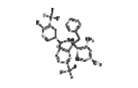 Cc1cnc(C(Cc2ccccc2)(NC(=O)c2ccc(F)c(C(F)(F)F)c2)c2cccc(C(F)(F)F)c2)c(C)c1